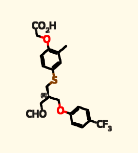 Cc1cc(SC[C@H](CC=O)COc2ccc(C(F)(F)F)cc2)ccc1OCC(=O)O